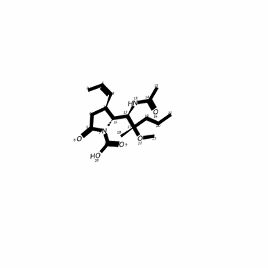 C/C=C\[C@@H]1CC(=O)N(C(=O)O)[C@H]1[C@@H](NC(C)=O)[C@](C)(CCC)OC